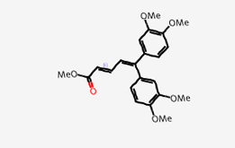 COC(=O)/C=C/C=C(c1ccc(OC)c(OC)c1)c1ccc(OC)c(OC)c1